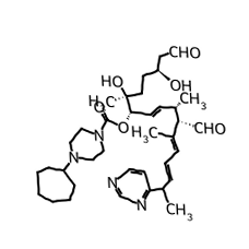 C/C(=C\C=C\C(C)c1ccncn1)[C@@H](C=O)[C@@H](C)/C=C/[C@H](OC(=O)N1CCN(C2CCCCCC2)CC1)[C@@](C)(O)CC[C@H](O)CC=O